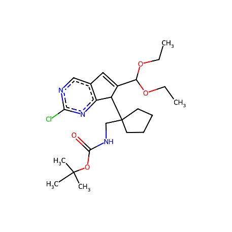 CCOC(OCC)C1=Cc2cnc(Cl)nc2C1C1(CNC(=O)OC(C)(C)C)CCCC1